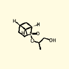 CC(CO)OP1(=O)CC[C@@H]2C[C@@H]1[C@H]2C